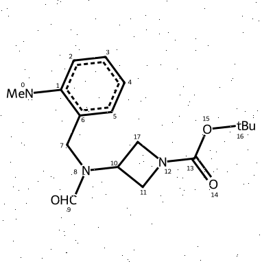 CNc1ccccc1CN(C=O)C1CN(C(=O)OC(C)(C)C)C1